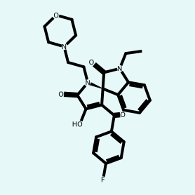 CCN1C(=O)[C@@]2(C(C(=O)c3ccc(F)cc3)=C(O)C(=O)N2CCN2CCOCC2)c2ccccc21